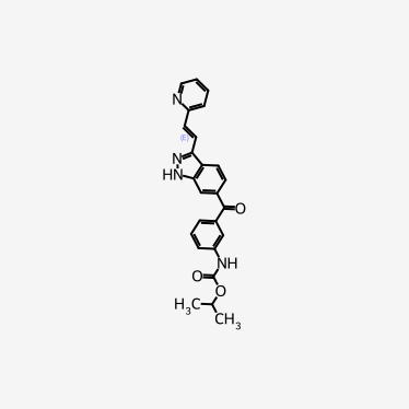 CC(C)OC(=O)Nc1cccc(C(=O)c2ccc3c(/C=C/c4ccccn4)n[nH]c3c2)c1